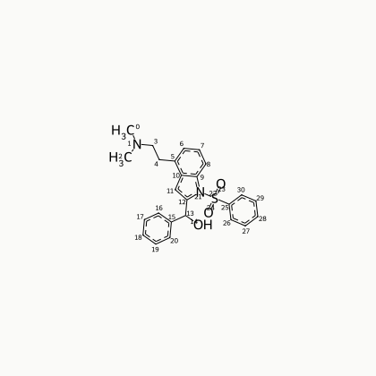 CN(C)CCc1cccc2c1cc(C(O)c1ccccc1)n2S(=O)(=O)c1ccccc1